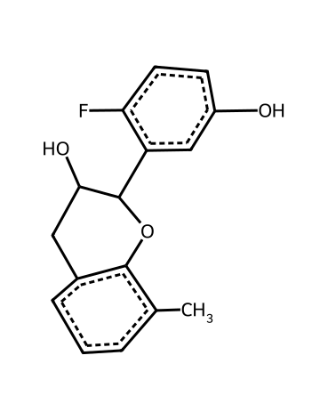 Cc1cccc2c1OC(c1cc(O)ccc1F)C(O)C2